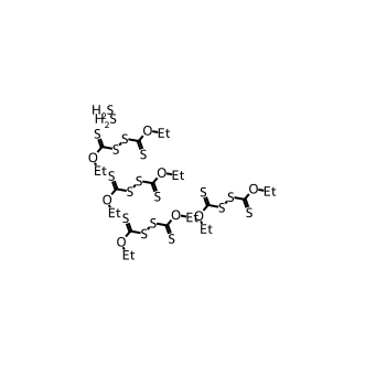 CCOC(=S)SSC(=S)OCC.CCOC(=S)SSC(=S)OCC.CCOC(=S)SSC(=S)OCC.CCOC(=S)SSC(=S)OCC.S.S